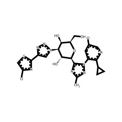 Cc1nc([C@@H]2O[C@H](CO)[C@H](O)[C@H](n3cc(-c4nc(Cl)cs4)nn3)[C@H]2O)n(-c2cc(Cl)cnc2C2CC2)n1